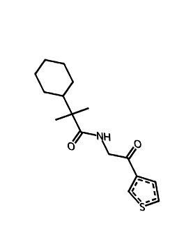 CC(C)(C(=O)NCC(=O)c1ccsc1)C1CCCCC1